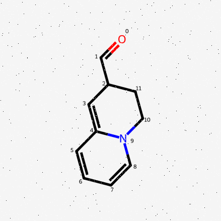 O=CC1C=C2C=CC=CN2CC1